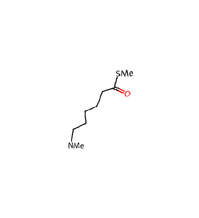 CNCCCCCC(=O)SC